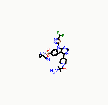 CC(C)(N)C(=O)N1CCC(c2ncnc3c2c2ccc(S(=O)(=O)NC4(C#N)CC4)cc2n3-c2nnc(C(F)F)s2)CC1